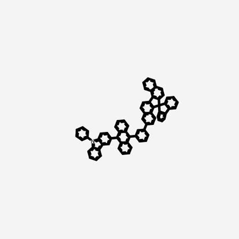 c1ccc(-n2c3ccccc3c3cc(-c4c5ccccc5c(-c5cccc(-c6ccc7c8c(ccc7c6)-c6c(ccc7ccccc67)C86c7ccccc7-c7ccccc76)c5)c5ccccc45)ccc32)cc1